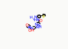 Nc1ccc(-c2cccs2)cc1NC(=O)c1cnc(NC2CCN(C(O)N3CCOCC3)CC2)nc1